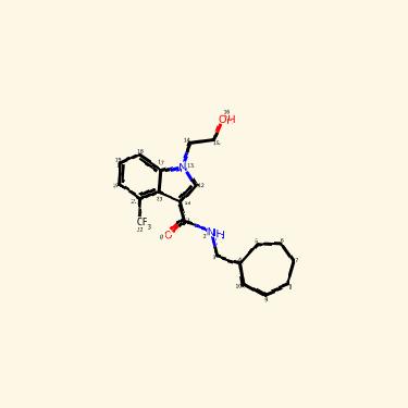 O=C(NCC1CCCCCC1)c1cn(CCO)c2cccc(C(F)(F)F)c12